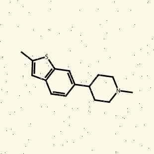 Cc1cc2ccc(C3CCN(C)CC3)cc2s1